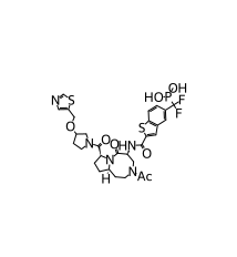 CC(=O)N1CC[C@H]2CC[C@@H](C(=O)N3CCC(OCc4cncs4)C3)N2C(=O)[C@@H](NC(=O)c2cc3cc(C(F)(F)P(O)O)ccc3s2)C1